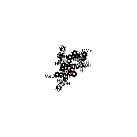 COc1ccc(CC(NC(=O)C(CO)NC(=O)CN2CCOCC2)C(=O)NC(CC2=CCCCC2)C(=O)C2(CC3CN(CC(=O)NC(CO)C(=O)NC(Cc4ccc(OC)c(O)c4)C(=O)NC(CC4=CCCC(C5CCC=C(CC(NC(=O)C(NC(=O)C(CO)NC(=O)CN6CCOCC6)C(O)c6ccc(OC)cc6)C(=O)C6(C)CO6)C5)C4)C(=O)C4(C)CO4)CCO3)CO2)cc1